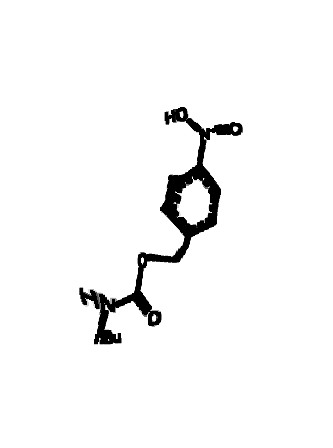 CCCCNC(=O)OCc1ccc([N+](=O)O)cc1